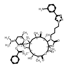 CC[C@H]1OC(=O)[C@H](C)[C@@H](O)[C@H](C)[C@@H](O[C@@H]2O[C@H](C)C[C@H](N(C)C)[C@H]2OC(=O)c2ccccc2)[C@@](C)(OC)C[C@@H](C)C(=O)[C@H](C)C2N(CCCCn3cc(-c4cccc(N)c4)nn3)C(=O)O[C@@]21C